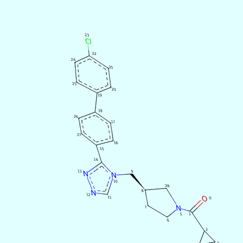 O=C(C1CC1)N1CC[C@@H](Cn2cnnc2-c2ccc(-c3ccc(Cl)cc3)cc2)C1